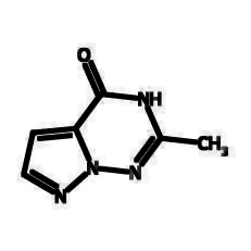 Cc1nn2nccc2c(=O)[nH]1